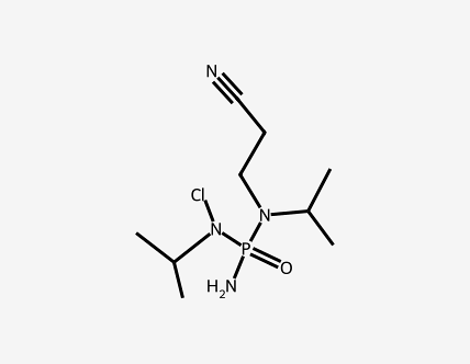 CC(C)N(Cl)P(N)(=O)N(CCC#N)C(C)C